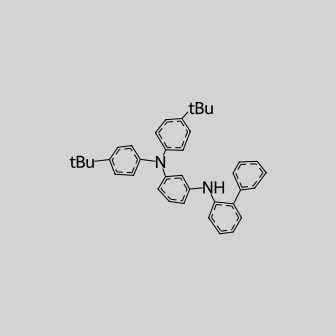 CC(C)(C)c1ccc(N(c2ccc(C(C)(C)C)cc2)c2cccc(Nc3ccccc3-c3ccccc3)c2)cc1